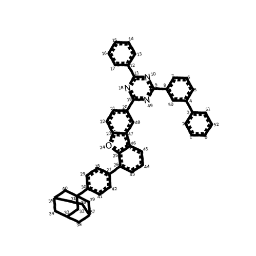 c1ccc(-c2cccc(-c3nc(-c4ccccc4)nc(-c4ccc5oc6c(-c7ccc(C89CC%10CC(CC(C%10)C8)C9)cc7)cccc6c5c4)n3)c2)cc1